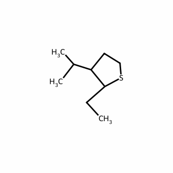 CCC1SCCC1C(C)C